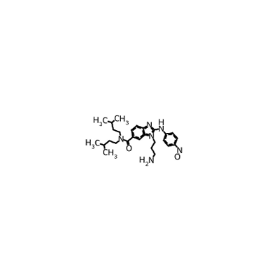 CC(C)CCN(CCC(C)C)C(=O)c1ccc2nc(Nc3ccc(N=O)cc3)n(CCCN)c2c1